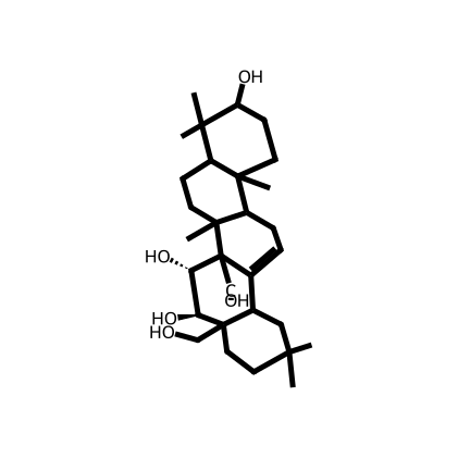 CC1(C)CCC2(CO)C(C1)C1=CCC3C4(C)CCC(O)C(C)(C)C4CCC3(C)C1(CO)[C@@H](O)[C@@H]2O